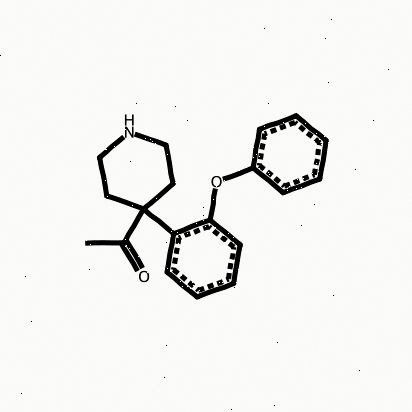 CC(=O)C1(c2ccccc2Oc2ccccc2)CCNCC1